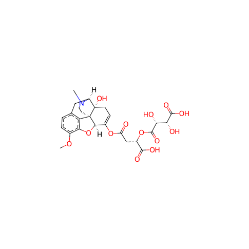 COc1ccc2c3c1O[C@@H]1C(OC(=O)C[C@H](OC(=O)[C@H](O)[C@@H](O)C(=O)O)C(=O)O)=CC[C@]4(O)[C@H](C2)N(C)CC[C@@]314